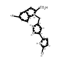 O=C(O)c1cc2cc(F)ccc2n1Cc1cc(-c2ccc(Cl)s2)on1